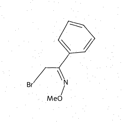 CON=C(CBr)c1ccccc1